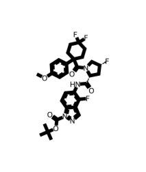 COc1ccc(C2(C(=O)N3C[C@H](F)C[C@@H]3C(=O)Nc3ccc4c(cnn4C(=O)OC(C)(C)C)c3F)CCC(F)(F)CC2)cc1